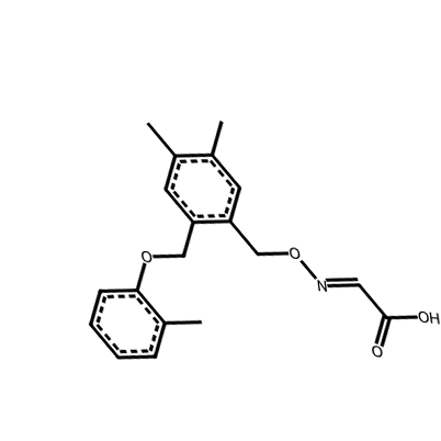 Cc1cc(CO/N=C/C(=O)O)c(COc2ccccc2C)cc1C